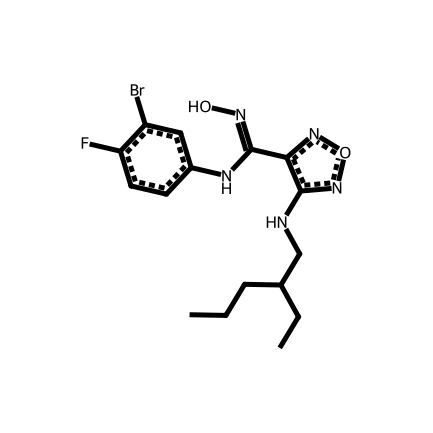 CCCC(CC)CNc1nonc1/C(=N/O)Nc1ccc(F)c(Br)c1